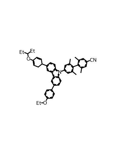 CCOc1ccc(-c2ccc3c(c2)c2cc(C4C=CC(OC(CC)CC)=CC4)ccc2n3-c2cc(C)c(-c3c(C)cc(C#N)cc3C)c(C)c2)cc1